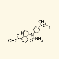 CN(C)c1ccc(N(C(N)=O)c2ccnc3c(NC=O)cccc23)cc1